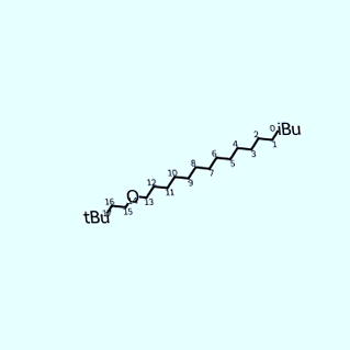 CCC(C)CCCCCCCCCCCCCOCCC(C)(C)C